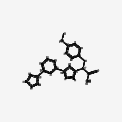 COc1ccc(CN(C(=O)O)c2ncc(-c3cccc(-n4ccnc4)c3)s2)cc1